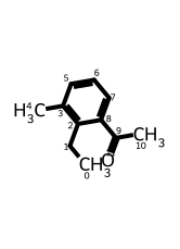 CCc1c(C)cccc1C(C)=O